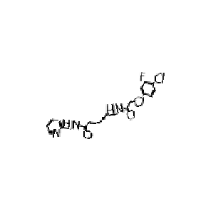 O=C(CCCCNC(=O)COc1ccc(Cl)c(F)c1)NCc1ccccn1